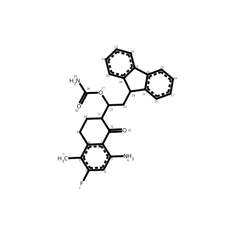 Cc1c(F)cc(N)c2c1CCC(C(CC1c3ccccc3-c3ccccc31)OC(N)=O)C2=O